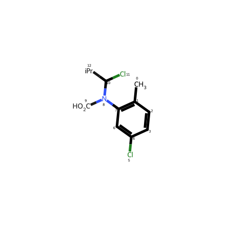 Cc1ccc(Cl)cc1N(C(=O)O)C(Cl)C(C)C